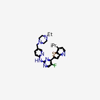 CCN1CCN(Cc2ccc(Nc3ncc(F)c(-c4cc5nccc(C(C)C)c5s4)n3)nc2)CC1